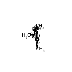 CC#CCOc1ccc(S(=O)(=O)N2CCN(C(=O)NOC)CC2C(=O)OCC)cc1